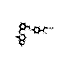 N#CC(CC(=O)O)c1ccc(OCc2cccc(CN3CCC4SC=CC4C3=O)c2)cc1